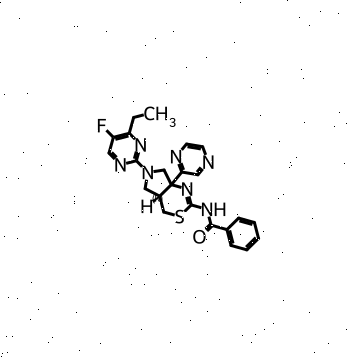 CCc1nc(N2C[C@H]3CSC(NC(=O)c4ccccc4)=NC3(c3cnccn3)C2)ncc1F